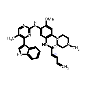 C=C/C=C/C(=O)Nc1cc(Nc2ncc(C)c(-c3c[nH]c4ccccc34)n2)c(OC)cc1N1CCN(C)CC1